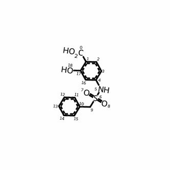 O=C(O)c1ccc(NS(=O)(=O)Cc2ccccc2)cc1O